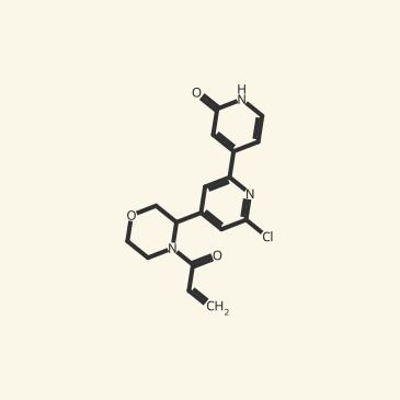 C=CC(=O)N1CCOCC1c1cc(Cl)nc(-c2cc[nH]c(=O)c2)c1